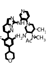 CC(=O)N(C)[C@@H]1[C@H](N)CN(c2ccncc2Nc2ncc3ccc(-c4c(F)cc(C5CCOCC5)cc4F)nn23)C[C@@H]1C